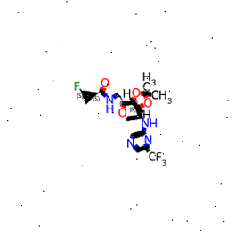 CC1(C)O[C@@H]2[C@H](O1)[C@@H](Nc1cncc(C(F)(F)F)n1)CO[C@@H]2CNC(=O)[C@@H]1C[C@@H]1F